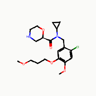 COCCCOc1cc(CN(C(=O)[C@H]2CNCCO2)C2CC2)c(Cl)cc1OC